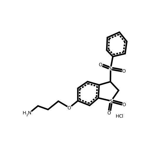 Cl.NCCCOc1ccc2c(c1)S(=O)(=O)CC2S(=O)(=O)c1ccccc1